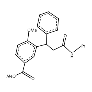 COC(=O)c1ccc(OC)c(C(CC(=O)NC(C)C)c2ccccc2)c1